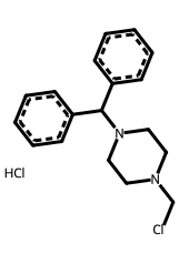 Cl.ClCN1CCN(C(c2ccccc2)c2ccccc2)CC1